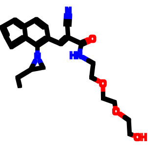 CCC1CN1c1c(/C=C(\C#N)C(=O)NCCOCCOCCO)ccc2ccccc12